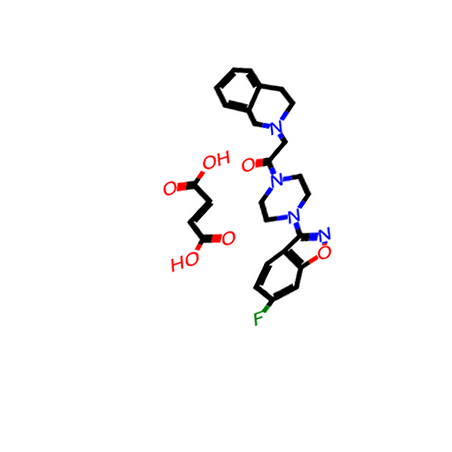 O=C(CN1CCc2ccccc2C1)N1CCN(c2noc3cc(F)ccc23)CC1.O=C(O)/C=C/C(=O)O